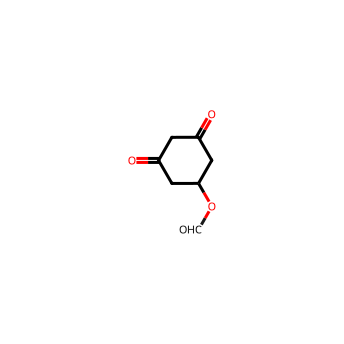 O=COC1CC(=O)CC(=O)C1